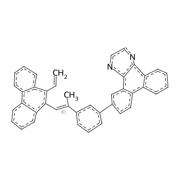 C=Cc1c(/C=C(\C)c2cccc(-c3ccc4c5ccccc5c5nccnc5c4c3)c2)c2ccccc2c2ccccc12